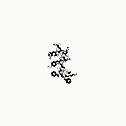 COCCN(CC(=O)N(CC(=O)N(CC(=O)NC(CO)C(=O)NC(Cc1ccc(O)cc1)C(=O)NC(CO)C(=O)NC(CCSC)C(=O)NC(CCC(=O)O)C(=O)NC(Cc1c[nH]cn1)C(C)=O)C(C)c1ccccc1)Cc1ccccc1)C(C)=O